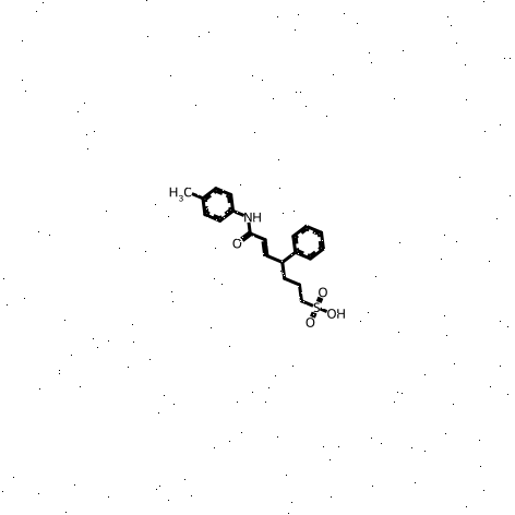 Cc1ccc(NC(=O)C=CC(CCCS(=O)(=O)O)c2ccccc2)cc1